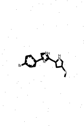 CSC1CNC(c2nc(-c3ccc(Br)cc3)c[nH]2)C1